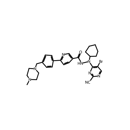 CN1CCN(Cc2ccc(-c3ccc(C(=O)NN(c4nc(C#N)ncc4Br)C4CCCCC4)cn3)cc2)CC1